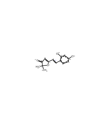 CC1(C)OC(/C=C/c2ccc(Cl)cc2Cl)=CC1=O